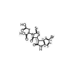 O=C(O)CC(C(=O)O)N1C(=O)C(C2C(=O)Nc3ccc(Br)cc32)SC1=S